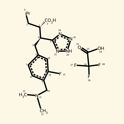 CC(C)C[C@H](C(=O)O)[C@H](Cc1ccc(CN(C)C)c(F)c1)c1nn[nH]n1.O=C(O)C(F)(F)F